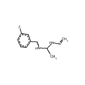 C=NNC(C)NCc1cccc(F)c1